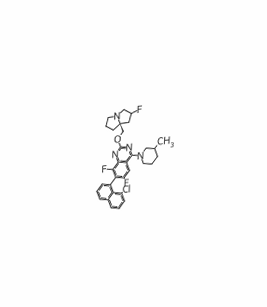 CC1CCCN(c2nc(OC[C@@]34CCCN3CC(F)C4)nc3c(F)c(-c4cccc5cccc(Cl)c45)c(F)cc23)C1